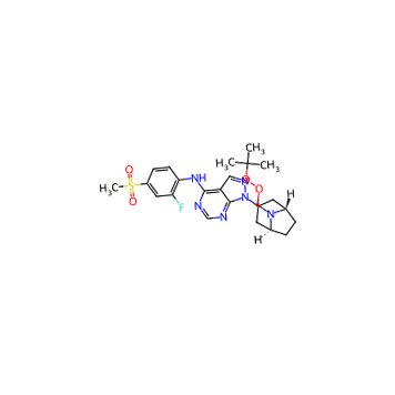 CC(C)(C)OOCN1[C@H]2CC[C@H]1CC(n1ncc3c(Nc4ccc(S(C)(=O)=O)cc4F)ncnc31)C2